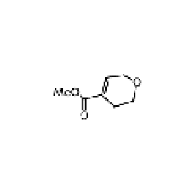 COC(=O)C1=CCOCC1